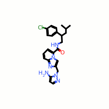 CC(C)CC(CNC(=O)c1cccc2nc(Cn3nccc3N)cn12)c1ccc(Cl)cc1